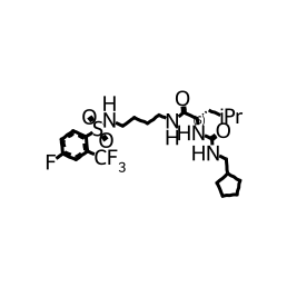 CC(C)C[C@H](NC(=O)NCC1CCCC1)C(=O)NCCCCNS(=O)(=O)c1ccc(F)cc1C(F)(F)F